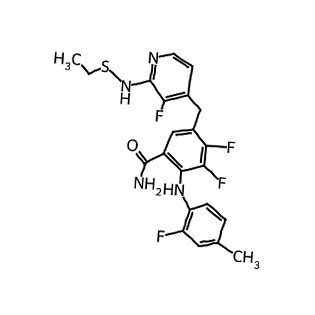 CCSNc1nccc(Cc2cc(C(N)=O)c(Nc3ccc(C)cc3F)c(F)c2F)c1F